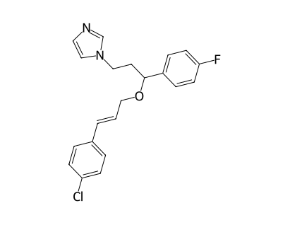 Fc1ccc(C(CCn2ccnc2)OC/C=C/c2ccc(Cl)cc2)cc1